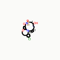 C[C@@H]1C/[SH](=O)=N\C(=O)c2ccc3c(c2)N(Cc2ccc(Cl)cc2CCCCO3)C[C@@H]2CC[C@H]2C/C=C/[C@@H]1O